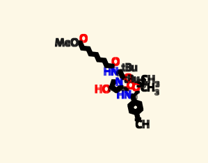 C#Cc1ccc([C@H](CO[Si](C)(C)C(C)(C)C)NC(=O)[C@@H]2C[C@@H](O)CN2C(=O)[C@@H](NC(=O)CCCCCCCC(=O)OC)C(C)(C)C)cc1